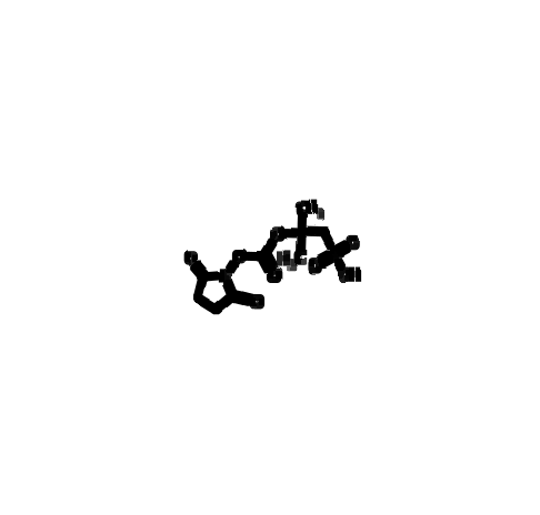 CC(C)(CS(=O)(=O)O)OC(=O)ON1C(=O)CCC1=O